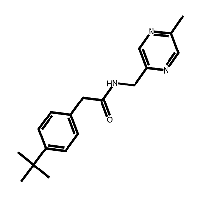 Cc1cnc(CNC(=O)Cc2ccc(C(C)(C)C)cc2)cn1